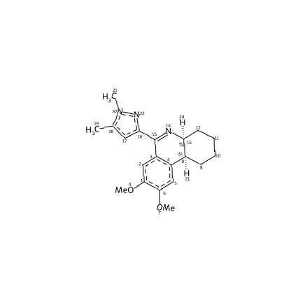 COc1cc2c(cc1OC)[C@@H]1CCCC[C@@H]1N=C2c1cc(C)n(C)n1